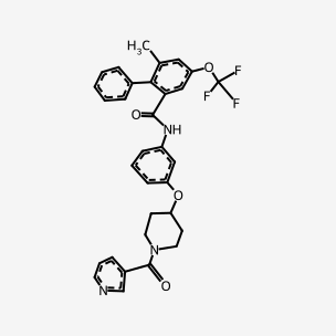 Cc1cc(OC(F)(F)F)cc(C(=O)Nc2cccc(OC3CCN(C(=O)c4cccnc4)CC3)c2)c1-c1ccccc1